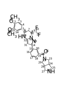 COc1ccc([C@@H]2C[C@H](C(F)F)n3nc(-c4cccc(C(=O)N5CC6CNCC6C5)c4)cc3N2)cc1OC